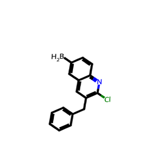 Bc1ccc2nc(Cl)c(Cc3ccccc3)cc2c1